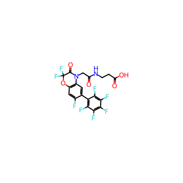 O=C(O)CCNC(=O)CN1C(=O)C(F)(F)Oc2cc(F)c(-c3c(F)c(F)c(F)c(F)c3F)cc21